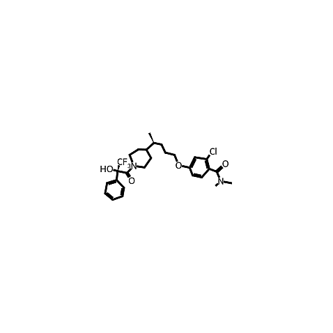 C[C@@H](CCCOc1ccc(C(=O)N(C)C)c(Cl)c1)C1CCN(C(=O)[C@@](O)(c2ccccc2)C(F)(F)F)CC1